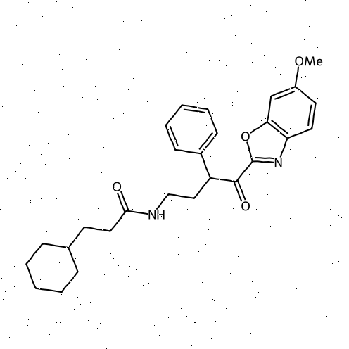 COc1ccc2nc(C(=O)C(CCNC(=O)CCC3CCCCC3)c3ccccc3)oc2c1